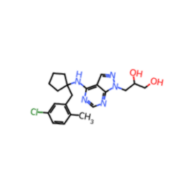 Cc1ccc(Cl)cc1CC1(Nc2ncnc3c2cnn3CC(O)CO)CCCC1